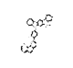 C[Si]1(C)c2ccccc2-c2cc3c4ccccc4n(-c4ccc(-c5ccc6ccc7cccnc7c6n5)cc4)c3cc21